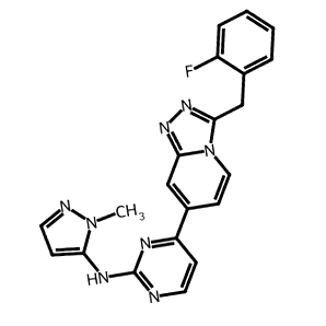 Cn1nccc1Nc1nccc(-c2ccn3c(Cc4ccccc4F)nnc3c2)n1